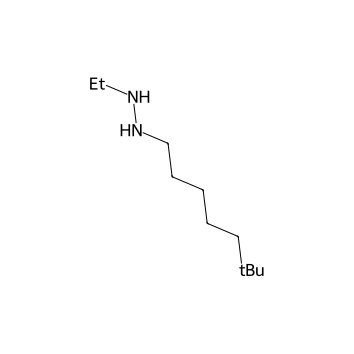 CCNNCCCCCC(C)(C)C